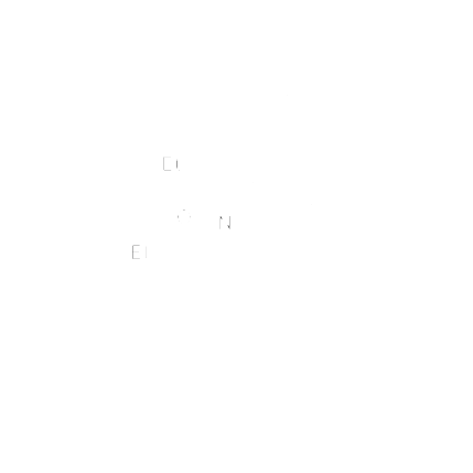 CCOCC.c1ccc2nc3ccccc3cc2c1